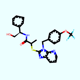 CC(Sc1nc2cccnc2n1Cc1ccc(OC(F)(F)F)cc1)C(=O)N[C@@H](CO)c1ccccc1